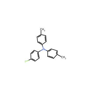 Cc1ccc(N(c2ccc(C)cc2)c2ccc(F)cc2)cc1